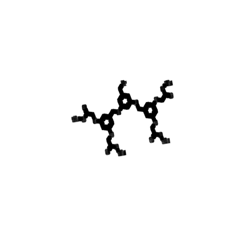 CC(C)(C)OC(=O)COc1cc(COc2cc(CBr)cc(OCc3cc(OCC(=O)OC(C)(C)C)cc(OCC(=O)OC(C)(C)C)c3)c2)cc(OCC(=O)OC(C)(C)C)c1